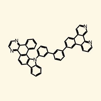 c1cc(-c2cccc(-n3c4ccccc4c4ccc5c6nccnc6c6ccccc6c5c43)c2)cc(-c2ccc3c(c2)c2cccnc2c2cnccc32)c1